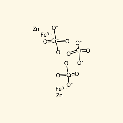 [Fe+3].[Fe+3].[O]=[Cr](=[O])([O-])[O-].[O]=[Cr](=[O])([O-])[O-].[O]=[Cr](=[O])([O-])[O-].[Zn].[Zn]